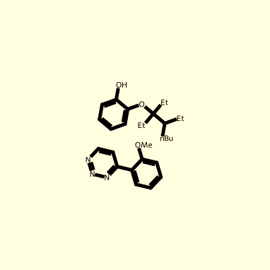 CCCCC(CC)C(CC)(CC)Oc1ccccc1O.COc1ccccc1-c1ccnnn1